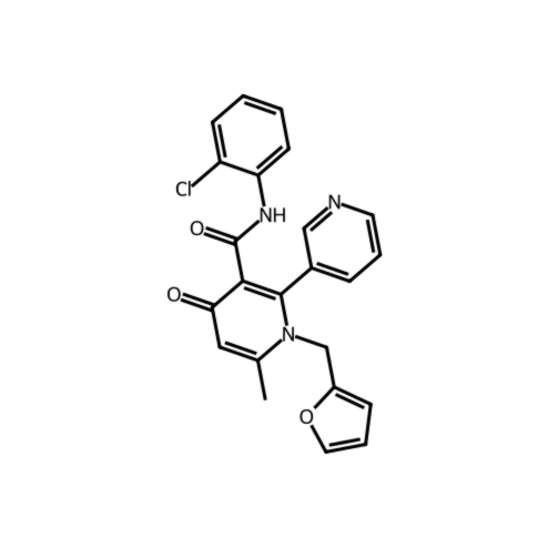 Cc1cc(=O)c(C(=O)Nc2ccccc2Cl)c(-c2cccnc2)n1Cc1ccco1